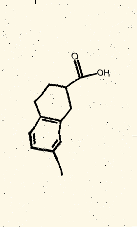 Cc1ccc2c(c1)CC(C(=O)O)CC2